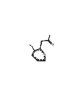 CC(=O)Cc1ncccc1Br